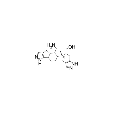 C[C@]1(C2CCC3c4[nH]ncc4CC3C2CN)Cc2cn[nH]c2CC1CO